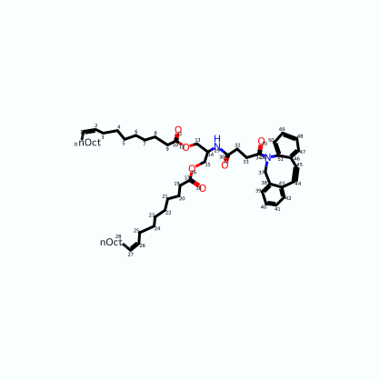 CCCCCCCC/C=C\CCCCCCCC(=O)OCC(COC(=O)CCCCCCC/C=C\CCCCCCCC)NC(=O)CCC(=O)N1Cc2ccccc2C#Cc2ccccc21